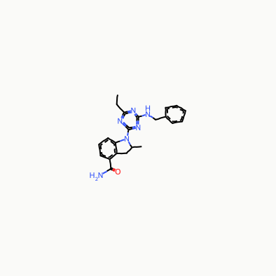 CCc1nc(NCc2ccccc2)nc(N2c3cccc(C(N)=O)c3CC2C)n1